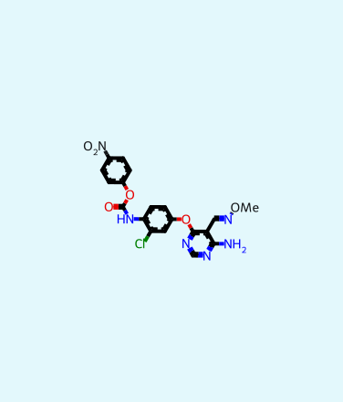 CON=Cc1c(N)ncnc1Oc1ccc(NC(=O)Oc2ccc([N+](=O)[O-])cc2)c(Cl)c1